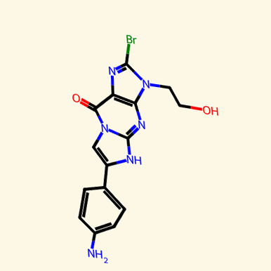 Nc1ccc(-c2cn3c(=O)c4nc(Br)n(CCO)c4nc3[nH]2)cc1